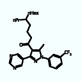 CCCCCCC(CCC)CCCC(=O)c1c(-c2cncnc2)nn(-c2cccc(C(F)(F)F)c2)c1C